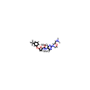 COc1nc(N2CCOC(CN(C)C)C2)nc(OC)c1NC(=O)c1ccc(Oc2cccc([Si](C)(C)C)c2)o1